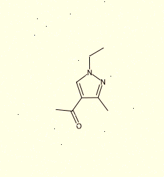 CCn1cc(C(C)=O)c(C)n1